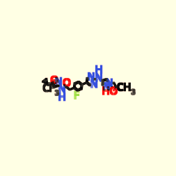 CC(O)Cn1cc(Nc2ncc(-c3ccc(CC(=O)Nc4cc(C5(C(F)(F)F)CC5)on4)c(F)c3)cn2)cn1